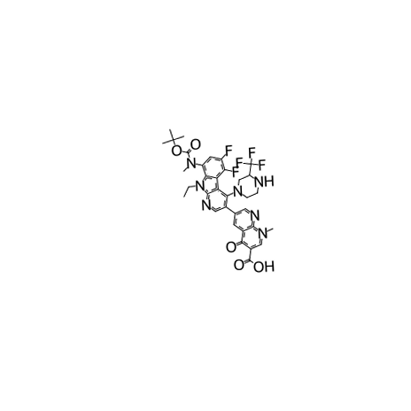 CCn1c2ncc(-c3cnc4c(c3)c(=O)c(C(=O)O)cn4C)c(N3CCNC(C(F)(F)F)C3)c2c2c(F)c(F)cc(N(C)C(=O)OC(C)(C)C)c21